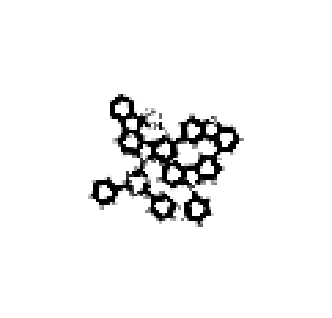 CC1(C)c2ccccc2-c2ccc3c(c21)c1cc(-c2ccc4oc5cccc(-c6ccc7c(c6)c6ccccc6n7-c6ccccc6)c5c4c2)ccc1n3-c1nc(-c2ccccc2)nc(-c2ccccc2)n1